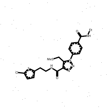 CCNC(=O)c1ccc(-n2nnc(C(=O)NCCc3ccc(Cl)s3)c2CSC)cc1